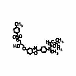 Cc1ccc(S(=O)(=O)OC[C@@H](O)COc2ccc3oc(-c4ccc(N(C)C(=O)OC(C)(C)C)cc4)nc3c2)cc1